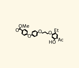 CCc1cc(C(C)=O)c(O)cc1OCCCOc1ccc(Oc2ccc(C(=O)OC)cc2)cc1